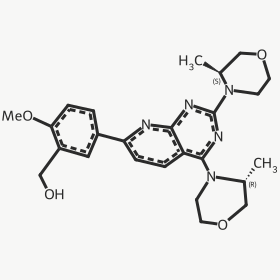 COc1ccc(-c2ccc3c(N4CCOC[C@H]4C)nc(N4CCOC[C@@H]4C)nc3n2)cc1CO